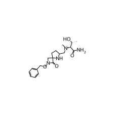 C[C@@H](O)[C@@H](C(N)=O)N(C)CC1CCC2(CN(OCc3ccccc3)C2=O)N1